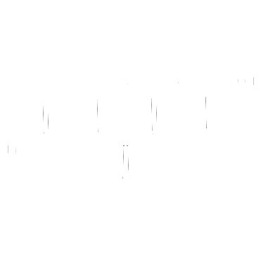 O=C(O)c1ccc2c(=O)c3cc(Br)ccc3oc2c1